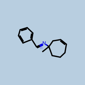 CC1(/N=C/c2ccccc2)CC=CCCC1